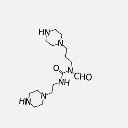 O=CN(CCCN1CCNCC1)C(=O)NCCN1CCNCC1